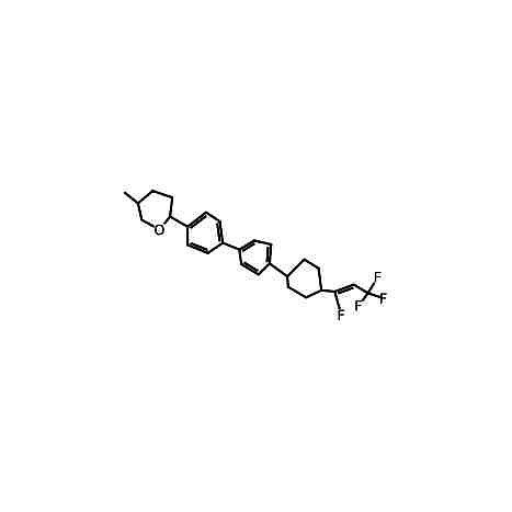 CC1CCC(c2ccc(-c3ccc(C4CCC(/C(F)=C/C(F)(F)F)CC4)cc3)cc2)OC1